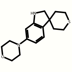 c1cc2c(cc1N1CCOCC1)NCC21CCSCC1